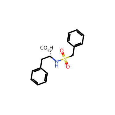 O=C(O)[C@@H](Cc1ccccc1)NS(=O)(=O)Cc1ccccc1